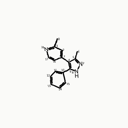 Cc1cc(-c2c(C)n[nH]c2-c2ccccc2)ccn1